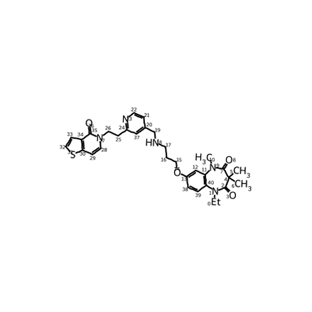 CCN1C(=O)C(C)(C)C(=O)N(C)c2cc(OCCCNCc3ccnc(CCn4ccc5sccc5c4=O)c3)ccc21